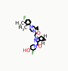 Cc1c(F)ccc(N2CCN(C(=O)Cn3nc(C(=O)N4CC[C@@H](O)[C@H](F)C4)c4c3C[C@H]3C[C@@H]43)C3(CC3)C2)c1C